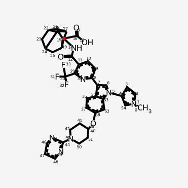 Cn1ccc(-n2cc(-c3ccc(C(=O)NC4(C(=O)O)C5CCC6CC(C5)CC4C6)c(C(F)(F)F)n3)c3ccc(OC4CCN(c5ncccn5)CC4)cc32)c1